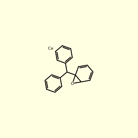 C1=CC2OC2(C(c2ccccc2)c2ccccc2)C=C1.[Ca]